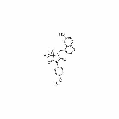 CC1(C)C(=O)N(c2ccc(OC(F)(F)F)cc2)C(=O)N1Cc1ccnc2ccc(O)cc12